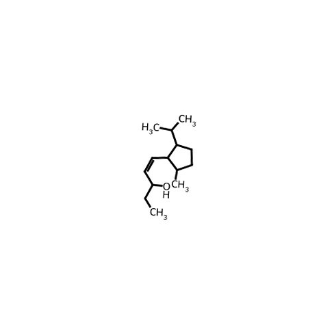 CCC(O)/C=C\C1C(C)CCC1C(C)C